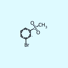 CS(=O)(=O)c1[c]c(Br)ccc1